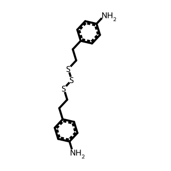 Nc1ccc(CCSSSCCc2ccc(N)cc2)cc1